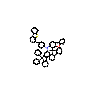 CC1(c2c(N(c3ccc(-c4cccc5c4sc4ccccc45)cc3)c3ccc4c(c3)C(c3ccccc3)(c3ccccc3)c3ccccc3-4)ccc3c2oc2ccccc23)c2ccccc2-c2ccccc21